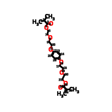 CC(C)C(=O)OCCOCCOc1ccc(OCCOCCOC(=O)C(C)C)cc1